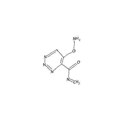 C=NC(=O)c1nnncc1ON